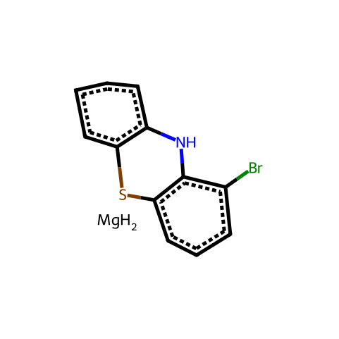 Brc1cccc2c1Nc1ccccc1S2.[MgH2]